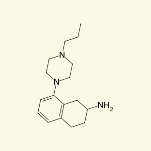 CCCN1CCN(c2cccc3c2CC(N)CC3)CC1